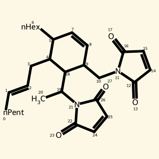 CCCCC/C=C/CC1C(CCCCCC)C=CC(CN2C(=O)C=CC2=O)C1C(C)N1C(=O)C=CC1=O